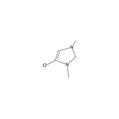 CN1C=C(Cl)N(C)C1